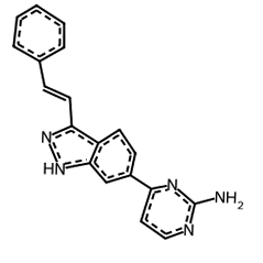 Nc1nccc(-c2ccc3c(C=Cc4ccccc4)n[nH]c3c2)n1